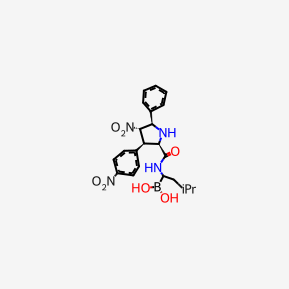 CC(C)CC(NC(=O)[C@@H]1N[C@H](c2ccccc2)[C@@H]([N+](=O)[O-])[C@@H]1c1ccc([N+](=O)[O-])cc1)B(O)O